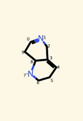 C1=NCC2=CCC[N]C2C1